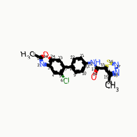 Cc1nc2cc(Cl)c(-c3ccc(NC(=O)c4snnc4C)cc3)cc2o1